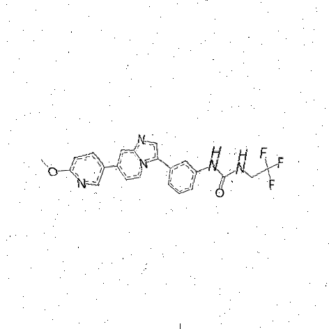 COc1ccc(-c2ccn3c(-c4cccc(NC(=O)NCC(F)(F)F)c4)cnc3c2)cn1